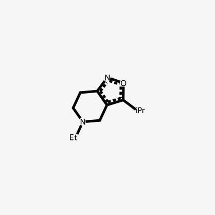 CCN1CCc2noc(C(C)C)c2C1